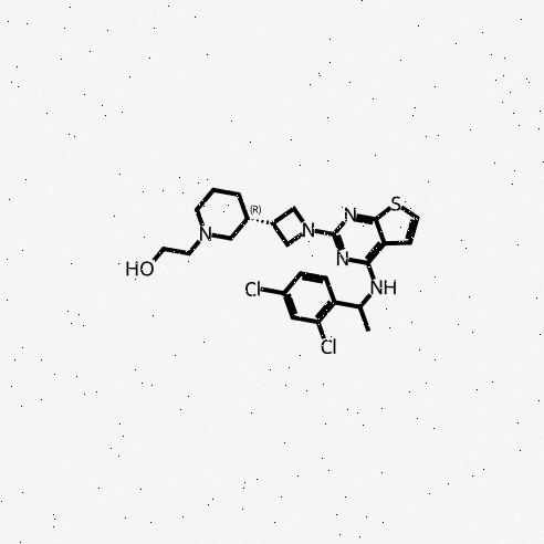 CC(Nc1nc(N2CC([C@H]3CCCN(CCO)C3)C2)nc2sccc12)c1ccc(Cl)cc1Cl